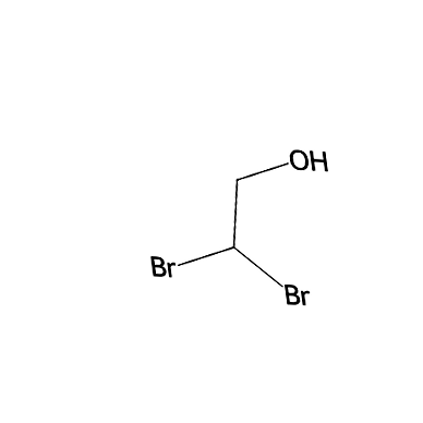 OCC(Br)Br